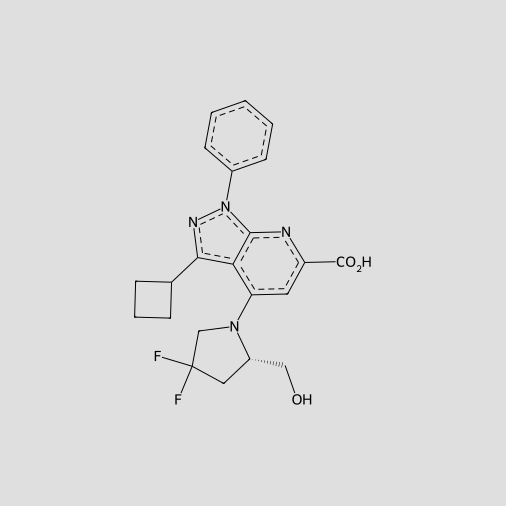 O=C(O)c1cc(N2CC(F)(F)C[C@H]2CO)c2c(C3CCC3)nn(-c3ccccc3)c2n1